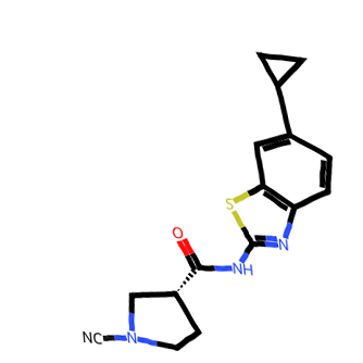 N#CN1CC[C@@H](C(=O)Nc2nc3ccc(C4CC4)cc3s2)C1